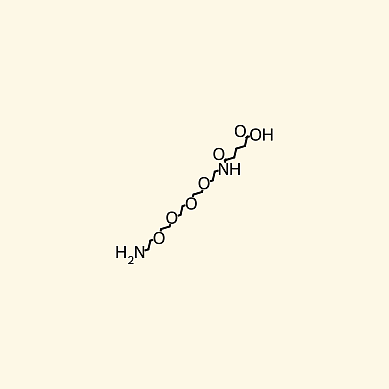 NCCOCCOCCOCCOCCNC(=O)CCCC(=O)O